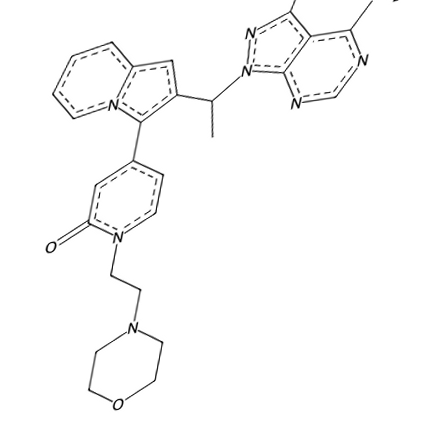 Cc1nn(C(C)c2cc3ccccn3c2-c2ccn(CCN3CCOCC3)c(=O)c2)c2ncnc(N)c12